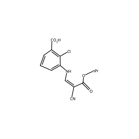 CCCOC(=O)C(C#N)=CNc1cccc(C(=O)O)c1Cl